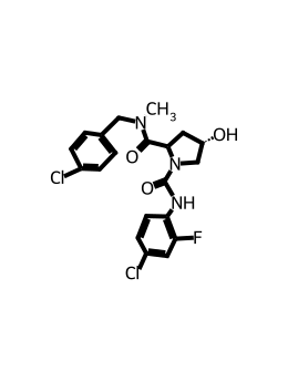 CN(Cc1ccc(Cl)cc1)C(=O)C1C[C@H](O)CN1C(=O)Nc1ccc(Cl)cc1F